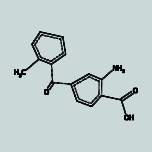 Cc1ccccc1C(=O)c1ccc(C(=O)O)c(N)c1